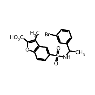 Cc1c(C(=O)O)oc2ccc(S(=O)(=O)NC(C)c3cccc(Br)c3)cc12